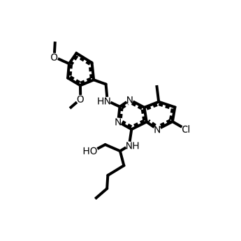 CCCCC(CO)Nc1nc(NCc2ccc(OC)cc2OC)nc2c(C)cc(Cl)nc12